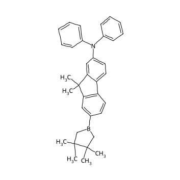 CC1(C)c2cc(B3CC(C)(C)C(C)(C)C3)ccc2-c2ccc(N(c3ccccc3)c3ccccc3)cc21